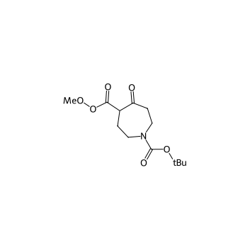 COOC(=O)C1CCN(C(=O)OC(C)(C)C)CCC1=O